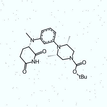 C[C@@H]1CN(C(=O)OC(C)(C)C)C[C@H](C)N1c1cccc(N(C)[C@H]2CCC(=O)NC2=O)c1